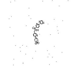 O=C(NCc1ccc(N2CCS(=O)(=O)CC2)nc1)c1ccc(-c2cnccn2)nc1